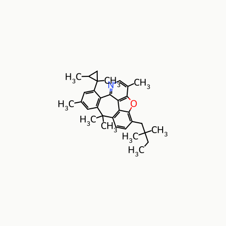 CCC(C)(C)Cc1ccc2c3c1oc1c(C)cnc(c13)-c1c(cc(C)cc1C1(C)CC1C)C2(C)C